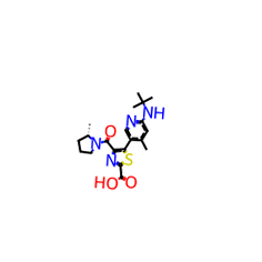 Cc1cc(NC(C)(C)C)ncc1-c1sc(C(=O)O)nc1C(=O)N1CCC[C@@H]1C